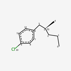 CCC[C@H](C)Cc1ccc(Cl)cc1